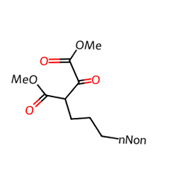 CCCCCCCCCCCCC(C(=O)OC)C(=O)C(=O)OC